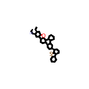 C=Cc1cc2oc3c(ccc4c5ccc(-c6cccc7c6sc6ccccc67)cc5c5ccccc5c43)c2cc1/C=C\C